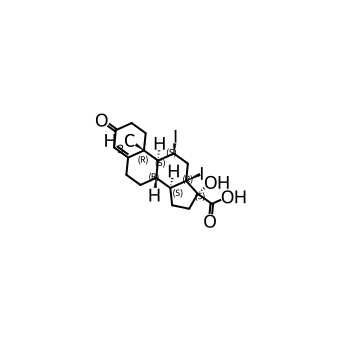 C[C@]12CCC(=O)C=C1CC[C@@H]1[C@@H]2[C@@H](I)C[C@@]2(I)[C@H]1CC[C@]2(O)C(=O)O